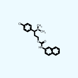 CN(C)C(CCOC(=O)Nc1ccc2ccccc2c1)c1ccc(Cl)cc1